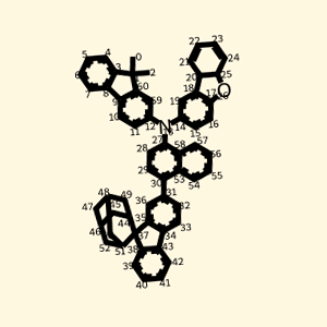 CC1(C)c2ccccc2-c2ccc(N(c3ccc4c(c3)C3C=CC=CC3O4)c3ccc(-c4ccc5c(c4)C4(c6ccccc6-5)C5CC6CC(C5)CC4C6)c4ccccc34)cc21